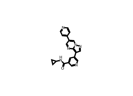 O=C(NC1CC1)c1cncc(-c2cnn3cc(-c4ccncc4)cnc23)c1